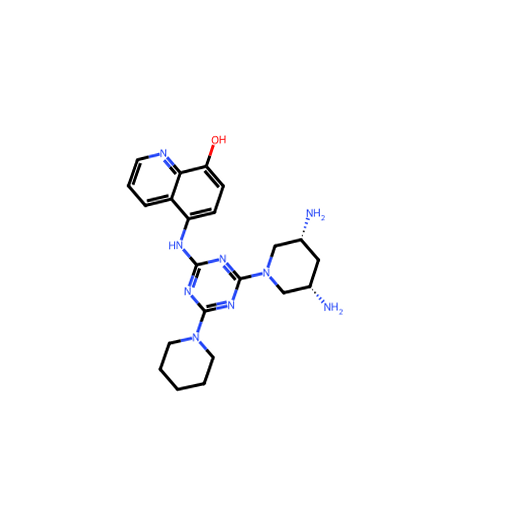 N[C@@H]1C[C@H](N)CN(c2nc(Nc3ccc(O)c4ncccc34)nc(N3CCCCC3)n2)C1